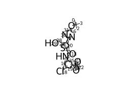 CC(C)(C)Oc1cnc(-c2cc(C(=O)Nc3cc(Cl)cc(S(C)(=O)=O)c3)sc2CO)nc1